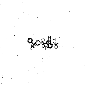 [C-]#[N+]C(=C1CCN(C(=O)C(=O)c2c[nH]c3c(NC(C)=O)ccc(F)c23)CC1)c1ccccc1